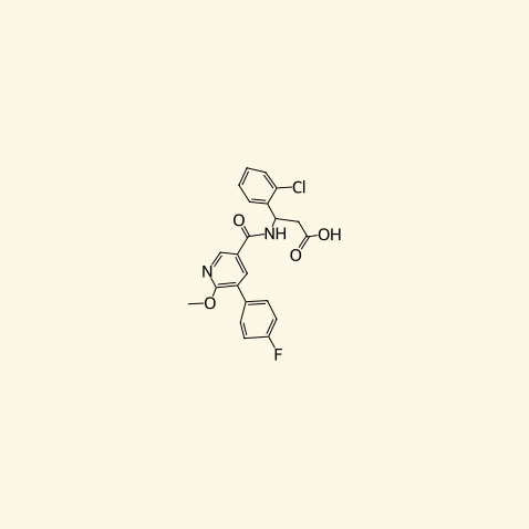 COc1ncc(C(=O)NC(CC(=O)O)c2ccccc2Cl)cc1-c1ccc(F)cc1